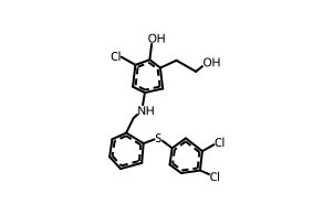 OCCc1cc(NCc2ccccc2Sc2ccc(Cl)c(Cl)c2)cc(Cl)c1O